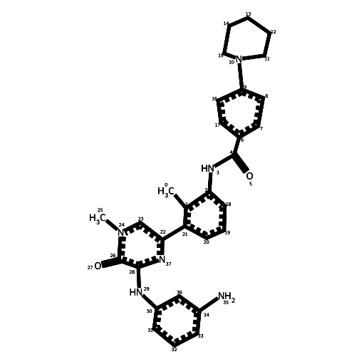 Cc1c(NC(=O)c2ccc(N3CCCCC3)cc2)cccc1-c1cn(C)c(=O)c(Nc2cccc(N)c2)n1